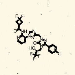 O=C(Nc1ncccc1-n1cnc(Cn2nc(-c3ccc(Cl)cc3)n(C[C@H](O)C(F)(F)F)c2=O)n1)C1CC(F)(F)C1